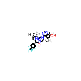 C[C@@H]1C[C@@](C)(O)c2ncnc(N3CCN(C(=O)[C@@H](c4ccc(C(F)(F)F)c(F)c4)[C@@H]4CCC(C)(C)N4)CC3)c21